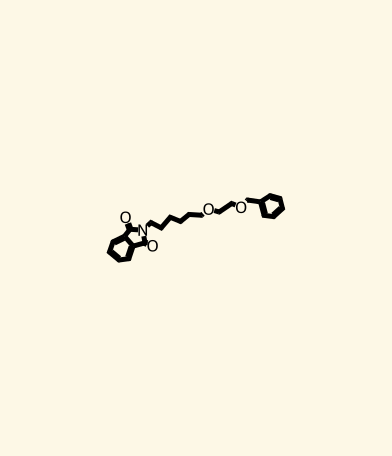 O=C1c2ccccc2C(=O)N1CCCCCCOCCOCc1ccccc1